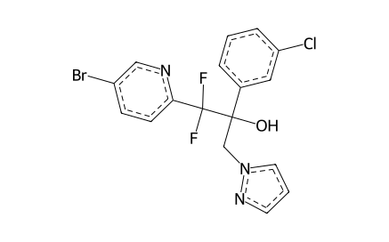 OC(Cn1cccn1)(c1cccc(Cl)c1)C(F)(F)c1ccc(Br)cn1